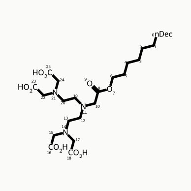 CCCCCCCCCCCCCCCCOC(=O)CN(CCN(CC(=O)O)CC(=O)O)CCN(CC(=O)O)CC(=O)O